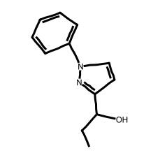 CCC(O)c1ccn(-c2ccccc2)n1